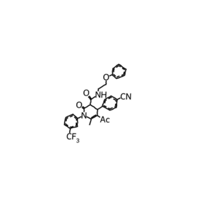 CC(=O)C1=C(C)N(c2cccc(C(F)(F)F)c2)C(=O)C(C(=O)NCCOc2ccccc2)C1c1ccc(C#N)cc1